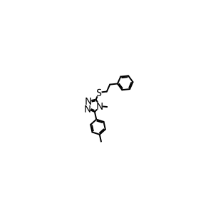 Cc1ccc(-c2nnc(SCCc3ccccc3)n2C)cc1